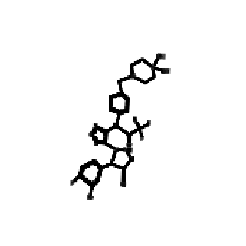 O=C1ONN(c2nonc2N(C(=O)C(F)(F)F)c2ccc(CN3CCS(O)(O)CC3)cc2)C1c1ccc(F)c(Br)c1